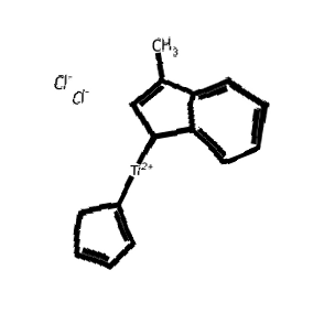 CC1=C[CH]([Ti+2][C]2=CC=CC2)c2ccccc21.[Cl-].[Cl-]